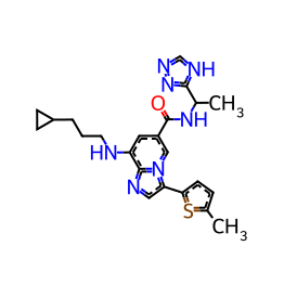 Cc1ccc(-c2cnc3c(NCCCC4CC4)cc(C(=O)NC(C)c4nnc[nH]4)cn23)s1